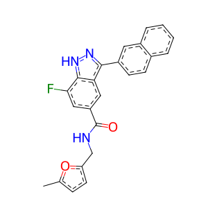 Cc1ccc(CNC(=O)c2cc(F)c3[nH]nc(-c4ccc5ccccc5c4)c3c2)o1